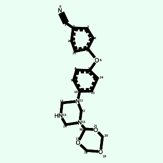 N#Cc1ccc(Oc2ccc(N3CNCN(C4OCOCO4)C3)cc2)cc1